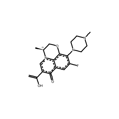 C=C(O)c1cn2c3c(c(N4CCN(C)CC4)c(F)cc3c1=O)OC[C@@H]2C